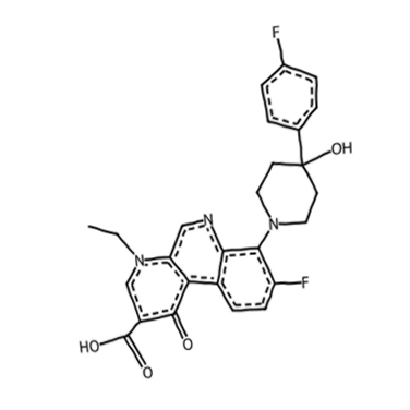 CCn1cc(C(=O)O)c(=O)c2c3ccc(F)c(N4CCC(O)(c5ccc(F)cc5)CC4)c3ncc21